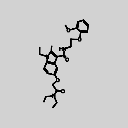 CCN(CC)C(=O)COc1ccc2c(c1)c(C(=O)NCCOc1ccccc1OC)c(C)n2CC